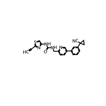 C#Cc1nc(NC(=O)NCc2ccc(-c3cccc(C4(C#N)CC4)c3)cn2)cs1